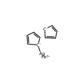 [Ag][c-]1cccc1.[Fe+2].c1cc[cH-]c1